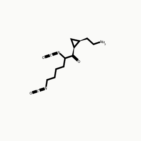 NCC[C@@H]1C[C@@H]1C(=O)C(CCCCN=C=O)N=C=O